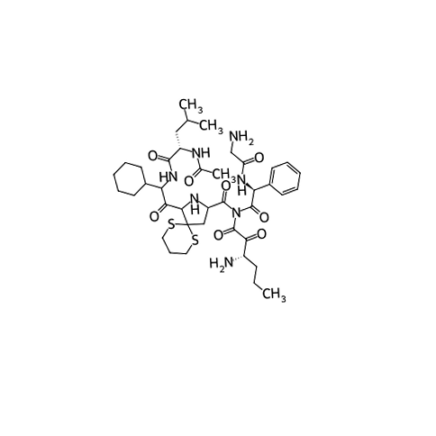 CCC[C@H](N)C(=O)C(=O)N(C(=O)C1CC2(SCCCS2)C(C(=O)C(NC(=O)[C@H](CC(C)C)NC(C)=O)C2CCCCC2)N1)C(=O)[C@@H](NC(=O)CN)c1ccccc1